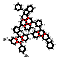 CC(C)(C)c1ccc(C(c2ccc(C(C)(C)C)cc2)c2ccc3c(c2)N(c2c(-c4ccccc4)cccc2-c2ccccc2)c2cc(-c4ccc5c(c4)c4ccccc4n5-c4ccccc4)cc4c2B3c2ccc(-c3ccc5oc6ccccc6c5c3)cc2N4c2c(-c3ccccc3)cccc2-c2ccccc2)cc1